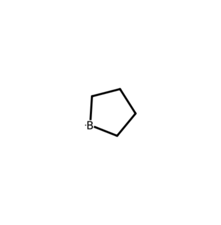 [B]1CCCC1